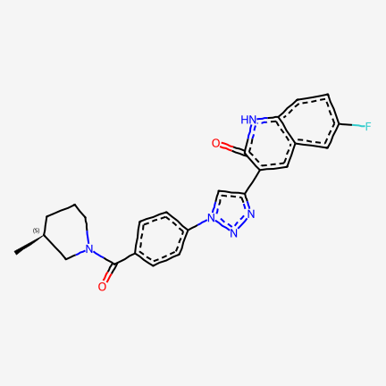 C[C@H]1CCCN(C(=O)c2ccc(-n3cc(-c4cc5cc(F)ccc5[nH]c4=O)nn3)cc2)C1